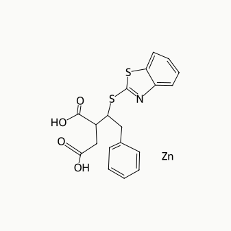 O=C(O)CC(C(=O)O)C(Cc1ccccc1)Sc1nc2ccccc2s1.[Zn]